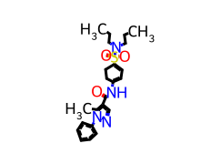 CCCN(CCC)S(=O)(=O)C1=CC=C(NC(=O)c2cnn(-c3ccccc3)c2C)CC1